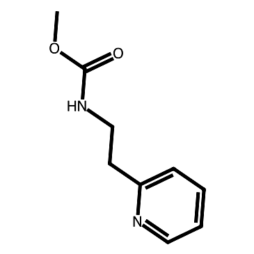 COC(=O)NCCc1ccccn1